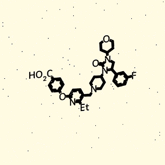 CCc1nc(Oc2ccc(C(=O)O)cc2)ccc1CN1CCC(N2C(=O)N(C3CCOCC3)CC2c2cccc(F)c2)CC1